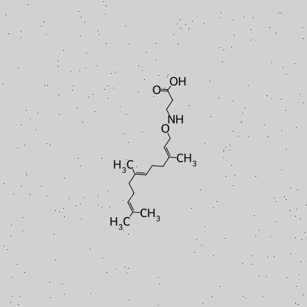 CC(C)=CCCC(C)=CCCC(C)=CCONCCC(=O)O